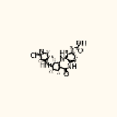 O=C(O)Cc1ccc2c(c1)Nc1cc(Nc3ccnc(Cl)c3)ccc1C(=O)N2